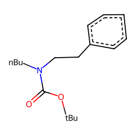 CCCCN(CCc1ccccc1)C(=O)OC(C)(C)C